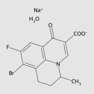 CC1CCc2c(Br)c(F)cc3c(=O)c(C(=O)[O-])cn1c23.O.[Na+]